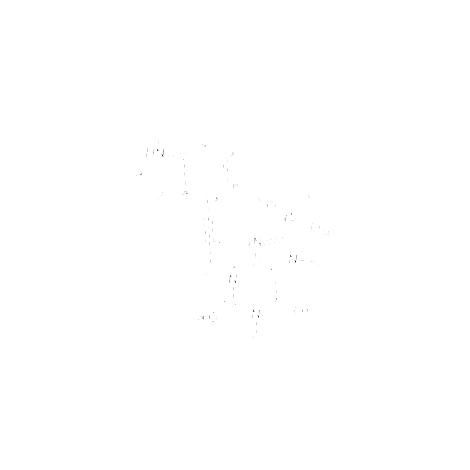 Cn1c(=O)c2c(nc(S(C)(=O)=O)n2C)n(CC#Cc2cccc3[nH]ccc23)c1=O